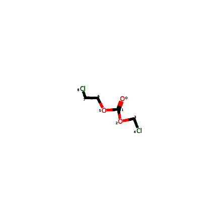 O=C(OCCl)OCCCl